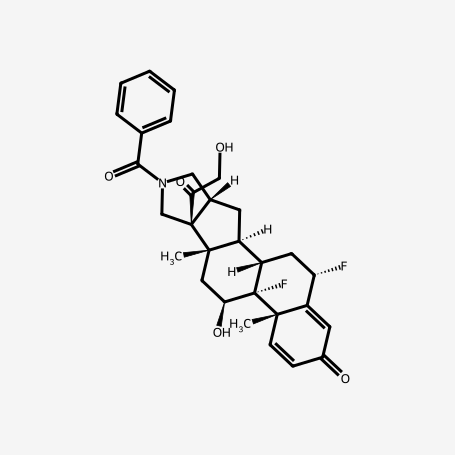 C[C@]12C=CC(=O)C=C1[C@@H](F)C[C@H]1[C@@H]3C[C@H]4CN(C(=O)c5ccccc5)C[C@@]4(C(=O)CO)[C@@]3(C)C[C@H](O)[C@@]12F